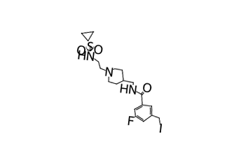 O=C(NCC1CCN(CCNS(=O)(=O)C2CC2)CC1)c1cc(F)cc(CI)c1